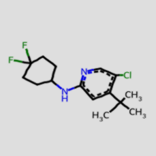 CC(C)(C)c1cc(NC2CCC(F)(F)CC2)ncc1Cl